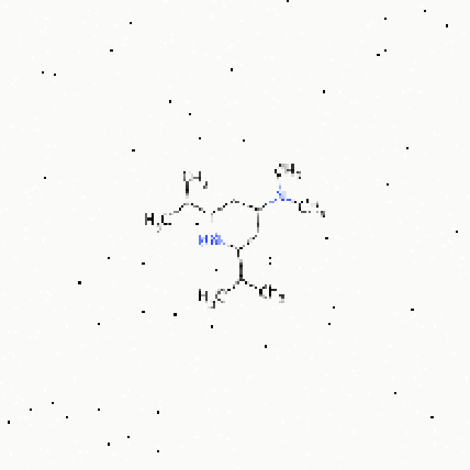 CC(C)C1CC(N(C)C)CC(C(C)C)N1